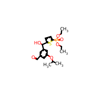 CCOP(=O)(OCC)c1ccc(C(O)c2cc(C=O)cc(OC(C)C)c2)s1